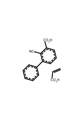 C=CC(=O)O.N#Cc1c(C(=O)O)cccc1-c1ccccc1